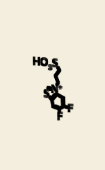 O=S(=O)(O)CCC[n+]1csc2cc(F)c(F)cc21